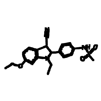 CCOc1ccc2c(c1)N(CC)C(c1ccc(NS(C)(=O)=O)cc1)C2C#N